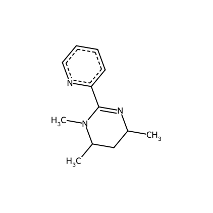 CC1CC(C)N(C)C(c2ccccn2)=N1